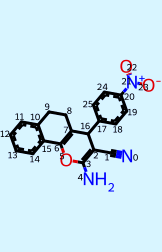 N#CC1=C(N)OC2=C(CCc3ccccc32)C1c1ccc([N+](=O)[O-])cc1